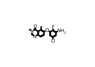 Cc1c(Oc2cc(Cl)cc(N)c2F)ccc2ncn(C)c(=O)c12